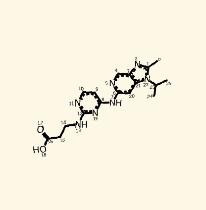 Cc1nc2cnc(Nc3ccnc(NCCC(=O)O)n3)cc2n1C(C)C